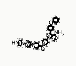 Nc1ncnc2c1c(-c1ccc(Oc3ccccc3)cc1)nn2C1CCN(C(=O)C2CCN(c3cnc(N4CCNCC4)nc3)CC2)CC1